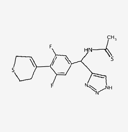 CC(=S)NC(c1cc(F)c(C2=CCSCC2)c(F)c1)c1c[nH]nn1